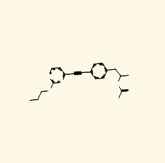 CCCOc1nccc(C#Cc2ccc(CC(C)NC(C)=O)cc2)n1